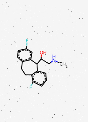 CNCC(O)C1c2cc(F)ccc2CCc2c(F)cccc21